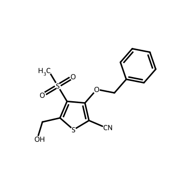 CS(=O)(=O)c1c(CO)sc(C#N)c1OCc1ccccc1